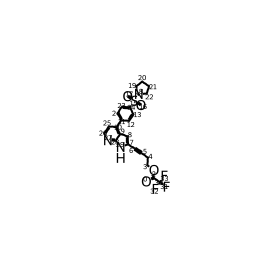 O=C(OCCC#Cc1cc2c(-c3ccc(S(=O)(=O)N4CCCC4)cc3)ccnc2[nH]1)C(F)(F)F